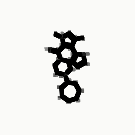 Cc1cn(C)c(C(=O)N2CCN(C3CCCCCC3)CC2)c1-c1ccco1